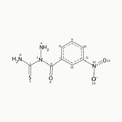 NC(=S)N(N)C(=O)c1cccc([N+](=O)[O-])c1